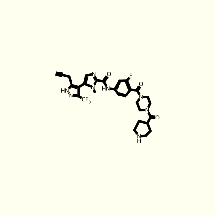 C#CCc1[nH]nc(C(F)(F)F)c1-c1cnc(C(=O)Nc2ccc(C(=O)N3CCN(C(=O)C4CCNCC4)CC3)c(F)c2)n1C